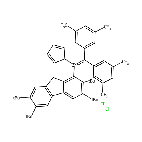 CC(C)(C)c1cc2c(cc1C(C)(C)C)-c1cc(C(C)(C)C)c(C(C)(C)C)[c]([Zr+2](=[C](c3cc(C(F)(F)F)cc(C(F)(F)F)c3)c3cc(C(F)(F)F)cc(C(F)(F)F)c3)[CH]3C=CC=C3)c1C2.[Cl-].[Cl-]